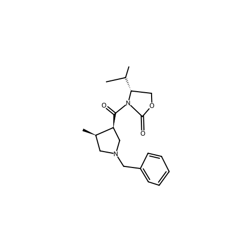 CC(C)[C@@H]1COC(=O)N1C(=O)[C@H]1CN(Cc2ccccc2)C[C@H]1C